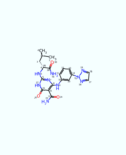 CC(C)C[C@@H](Nc1nc(Nc2cccc(-n3nccn3)c2)c(C(N)=O)c(=O)[nH]1)C(N)=O